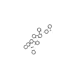 CC1(C)c2ccccc2-c2cc(-n3c4ccccc4c4c5c6ccccc6n(-c6cccc7c6c6ccccc6n7-c6nc7ccccc7nc6-c6cccc7ccccc67)c5ccc43)ccc21